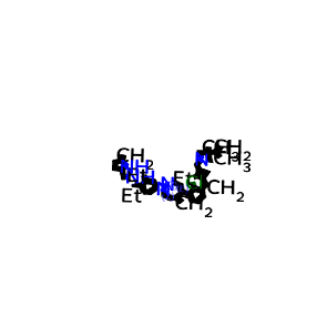 C=C1CCC(CNCc2c(CC)cc(N3/C=C\C(=C)/C(c4cccc(C(=C)C5CC(CN6CC(C)(C(=C)C)C6)=C5CC)c4Cl)=C\C=N/3)cc2CC)N1